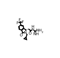 N=C(N)NC(=O)C[C@H]1c2cc(C(F)(F)F)ccc2C(=O)N1CC1CC1